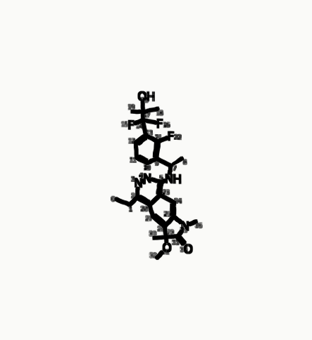 CCc1nnc(N[C@H](C)c2cccc(C(F)(F)C(C)(C)O)c2F)c2cc3c(cc12)C(C)(OC)C(=O)N3C